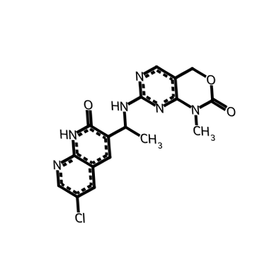 CC(Nc1ncc2c(n1)N(C)C(=O)OC2)c1cc2cc(Cl)cnc2[nH]c1=O